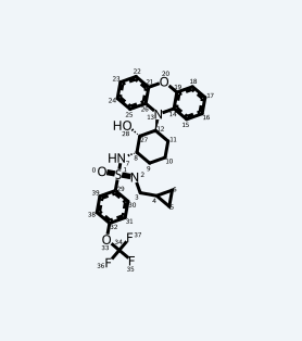 O=S(=NCC1CC1)(N[C@H]1CCC[C@H](N2c3ccccc3Oc3ccccc32)[C@H]1O)c1ccc(OC(F)(F)F)cc1